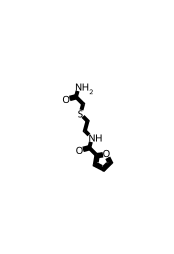 NC(=O)CSCCNC(=O)c1ccco1